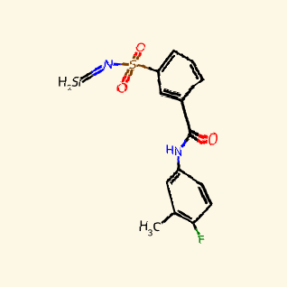 Cc1cc(NC(=O)c2cccc(S(=O)(=O)N=[SiH2])c2)ccc1F